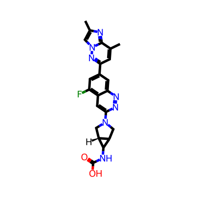 Cc1cn2nc(-c3cc(F)c4cc(N5CC6C(NC(=O)O)[C@@H]6C5)nnc4c3)cc(C)c2n1